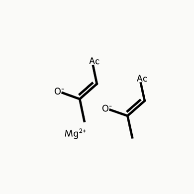 CC(=O)/C=C(/C)[O-].CC(=O)/C=C(/C)[O-].[Mg+2]